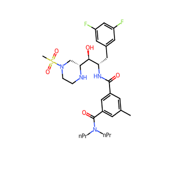 CCCN(CCC)C(=O)c1cc(C)cc(C(=O)N[C@@H](Cc2cc(F)cc(F)c2)[C@H](O)[C@H]2CN(S(C)(=O)=O)CCN2)c1